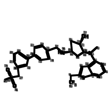 CN(c1ncnc2sc(CC(F)(F)F)cc12)[C@H]1C[C@@H](NCc2ccc(-c3cccc(CS(C)(=O)=O)c3)cc2)C[C@H]1O